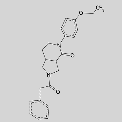 O=C(Cc1ccccc1)N1CC2CCN(c3ccc(OCC(F)(F)F)cc3)C(=O)C2C1